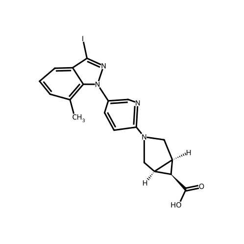 Cc1cccc2c(I)nn(-c3ccc(N4C[C@@H]5[C@H](C4)[C@@H]5C(=O)O)nc3)c12